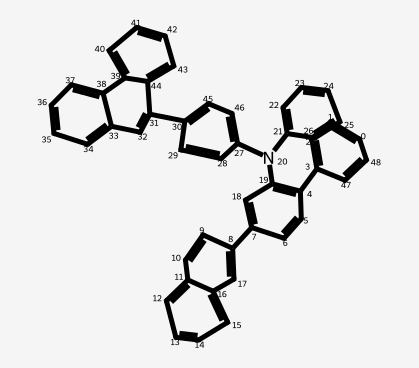 c1ccc(-c2ccc(-c3ccc4ccccc4c3)cc2N(c2ccccc2)c2ccc(-c3cc4ccccc4c4ccccc34)cc2)cc1